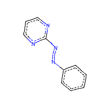 c1ccc(/N=N/c2ncccn2)cc1